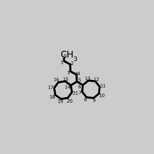 CCCC[CH]C(C1CCCCCCC1)C1CCCCCCC1